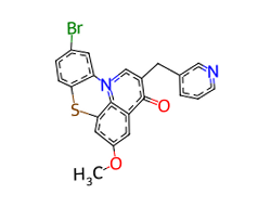 COc1cc2c3c(c1)c(=O)c(Cc1cccnc1)cn3-c1cc(Br)ccc1S2